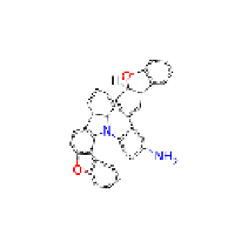 Nc1ccc(N2c3c(ccc4oc5ccccc5c34)C3C=CC=CC32)c(C2=CC3c4ccccc4O[C@@H]3C=C2)c1